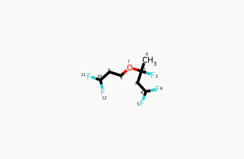 CC(F)(CC(F)F)OCCC(F)F